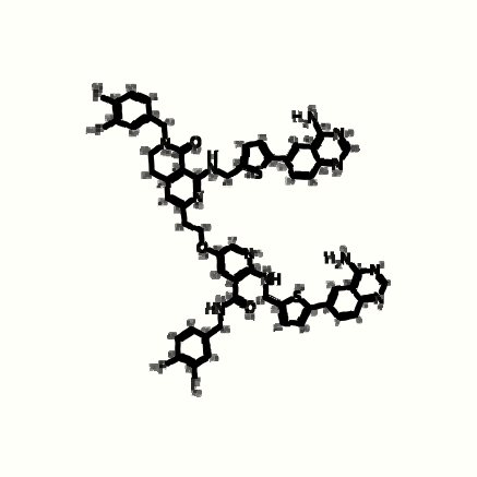 Nc1ncnc2ccc(-c3ccc(CNc4ncc(OCCc5cc6c(c(NCc7ccc(-c8ccc9ncnc(N)c9c8)s7)n5)C(=O)N(Cc5ccc(F)c(F)c5)CC6)cc4C(=O)NCc4ccc(F)c(F)c4)s3)cc12